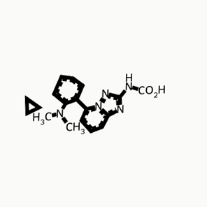 C1CC1.CN(C)c1ccccc1-c1cccc2nc(NC(=O)O)nn12